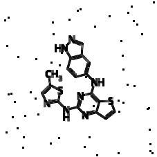 Cc1cnc(Nc2nc(Nc3ccc4[nH]ncc4c3)c3sccc3n2)s1